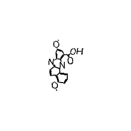 COc1cc(C(=O)O)c2nc3c(ccc4c(OC)cccc43)nc2c1